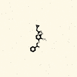 Cc1c(OCC(F)c2ccccc2)ccn2c(CC3CC3)nnc12